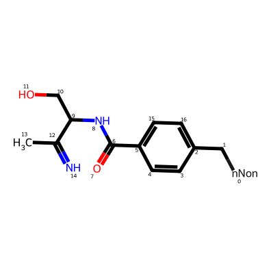 CCCCCCCCCCc1ccc(C(=O)NC(CO)C(C)=N)cc1